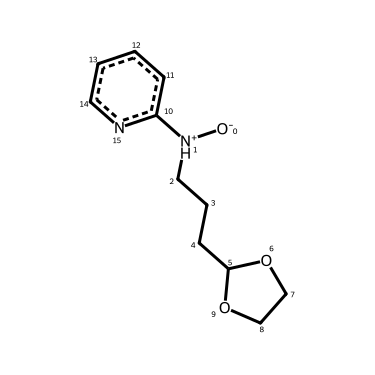 [O-][NH+](CCCC1OCCO1)c1ccccn1